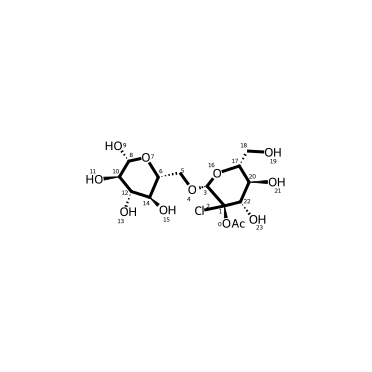 CC(=O)O[C@@]1(Cl)[C@H](OC[C@H]2O[C@@H](O)[C@H](O)[C@@H](O)[C@@H]2O)O[C@H](CO)[C@@H](O)[C@@H]1O